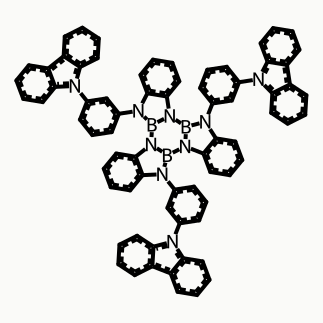 c1cc(N2B3N(B4N(B5N3c3ccccc3N5c3cccc(-n5c6ccccc6c6ccccc65)c3)c3ccccc3N4c3cccc(-n4c5ccccc5c5ccccc54)c3)c3ccccc32)cc(-n2c3ccccc3c3ccccc32)c1